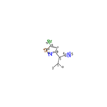 CC(C)C(C#N)c1cc(Br)sn1